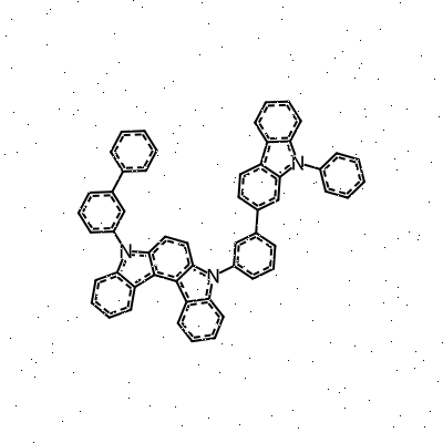 c1ccc(-c2cccc(-n3c4ccccc4c4c5c6ccccc6n(-c6cccc(-c7ccc8c9ccccc9n(-c9ccccc9)c8c7)c6)c5ccc43)c2)cc1